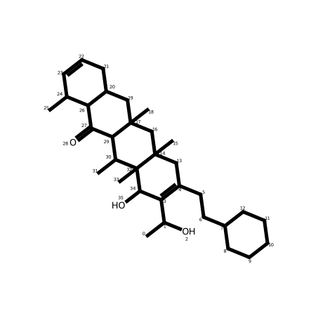 CC(O)C1=C(CCC2CCCCC2)CC2(C)CC3(C)CC4CC=CC(C)C4C(=O)C3C(C)C2(C)C1O